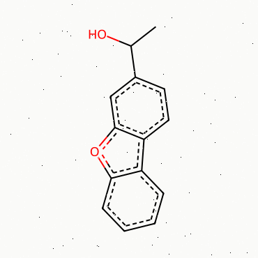 CC(O)c1ccc2c(c1)oc1ccccc12